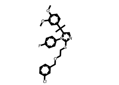 COc1ccc(C(C)(C)c2cnc(SCCOCc3cccc(Cl)c3)n2-c2ccc(F)cc2)cc1OC